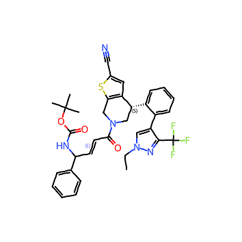 CCn1cc(-c2ccccc2[C@@H]2CN(C(=O)/C=C/C(NC(=O)OC(C)(C)C)c3ccccc3)Cc3sc(C#N)cc32)c(C(F)(F)F)n1